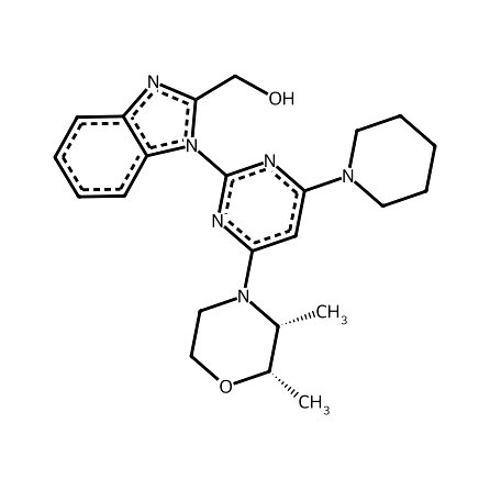 C[C@@H]1OCCN(c2cc(N3CCCCC3)nc(-n3c(CO)nc4ccccc43)n2)[C@@H]1C